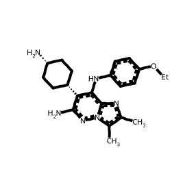 CCOc1ccc(Nc2c3nc(C)c(C)n3nc(N)c2[C@H]2CC[C@@H](N)CC2)cc1